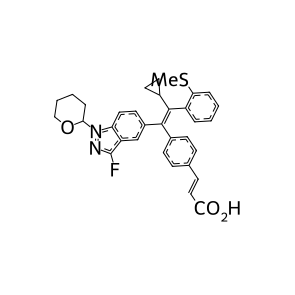 CSc1ccccc1/C(=C(\c1ccc(C=CC(=O)O)cc1)c1ccc2c(c1)c(F)nn2C1CCCCO1)C1CC1